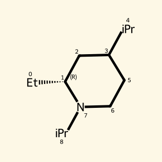 CC[C@@H]1CC(C(C)C)CCN1C(C)C